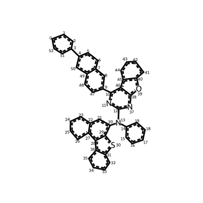 c1ccc(-c2ccc3cc(-c4nc(N(c5ccccc5)c5cc6ccccc6c6c5sc5ccccc56)nc5oc6ccccc6c45)ccc3c2)cc1